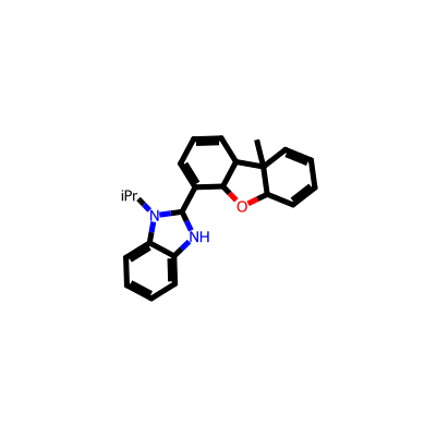 CC(C)N1c2ccccc2NC1C1=CC=CC2C1OC1C=CC=CC12C